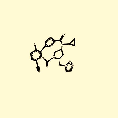 N#Cc1ccc(F)c(-c2cnc(C(=O)N(C3CC3)[C@@H]3C[C@@H](Cn4ccnn4)N(C(=O)O)C3)o2)c1